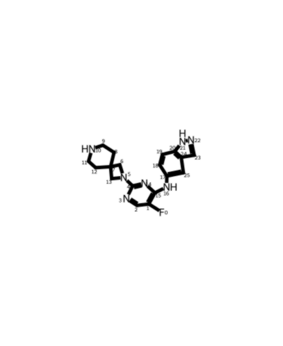 Fc1cnc(N2CC3(CCNCC3)C2)nc1Nc1ccc2[nH]ncc2c1